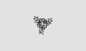 O=c1n(S(=O)(=O)c2cccs2)c(=O)n(S(=O)(=O)c2cccs2)c(=O)n1S(=O)(=O)c1cccs1